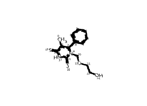 Cc1c(-c2ccccc2)n(COCCO)c(=S)[nH]c1=S